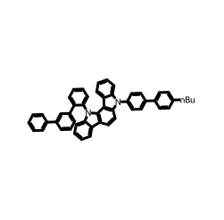 CCCCc1ccc(-c2ccc(-n3c4ccccc4c4c3ccc3c5ccccc5n(-c5ccccc5-c5cccc(-c6ccccc6)c5)c34)cc2)cc1